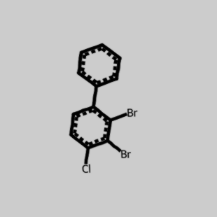 Clc1ccc(-c2ccccc2)c(Br)c1Br